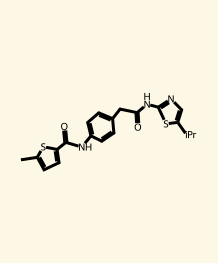 Cc1ccc(C(=O)Nc2ccc(CC(=O)Nc3ncc(C(C)C)s3)cc2)s1